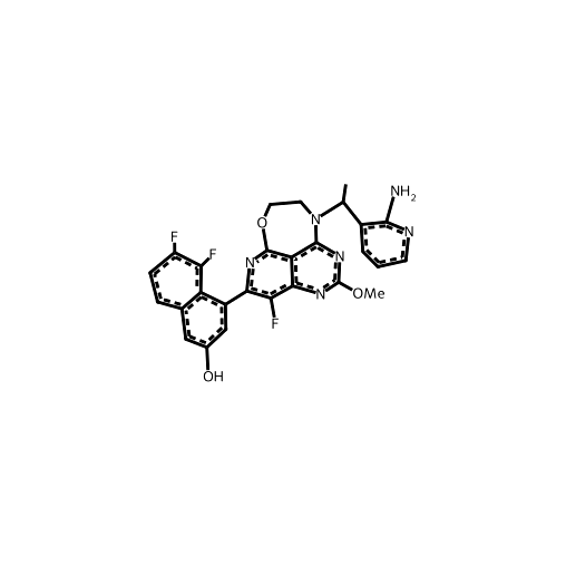 COc1nc2c3c(nc(-c4cc(O)cc5ccc(F)c(F)c45)c(F)c3n1)OCCN2C(C)c1cccnc1N